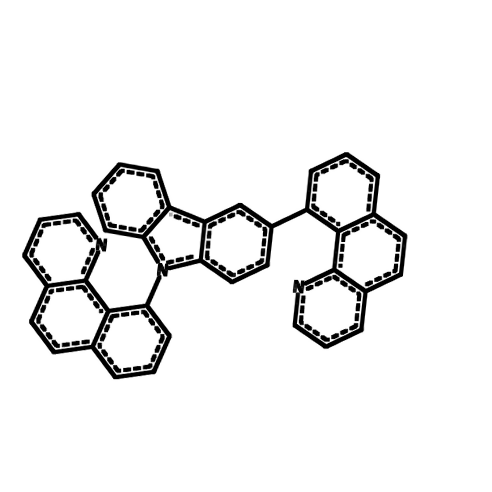 c1cnc2c(c1)ccc1cccc(-c3ccc4c(c3)c3ccccc3n4-c3cccc4ccc5cccnc5c34)c12